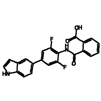 O=C(O)c1ccccc1C(=O)Nc1c(F)cc(-c2ccc3[nH]ccc3c2)cc1F